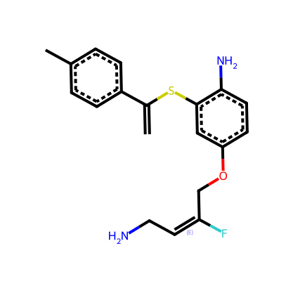 C=C(Sc1cc(OC/C(F)=C\CN)ccc1N)c1ccc(C)cc1